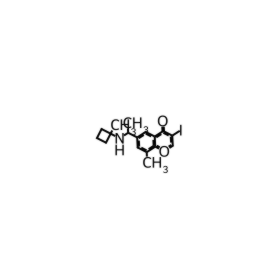 Cc1cc(C(C)NC2(C)CCC2)cc2c(=O)c(I)coc12